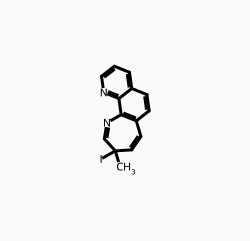 CC1(I)C=Cc2ccc3cccnc3c2N=C1